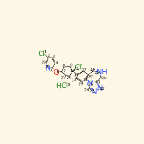 Cl.Clc1ccc(OC2CCC(Cl)(c3ccc4c(c3)CNCc3nncn3-4)CC2)nc1